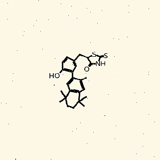 Cc1cc2c(cc1-c1cc(CC3SC(=S)NC3=O)ccc1O)C(C)(C)CCC2(C)C